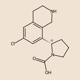 O=C(O)N1CCC[C@H]1c1cc(Cl)cc2c1CNCC2